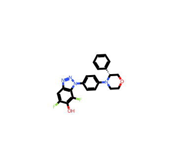 Oc1c(F)cc2nnn(-c3ccc(N4CCOC[C@H]4c4ccccc4)cc3)c2c1F